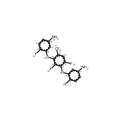 Nc1ccc(F)c(Oc2c(F)cc(C(F)(F)F)c(Oc3cc(N)ccc3F)c2F)c1